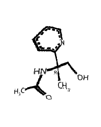 CC(=O)N[C@@](C)(CO)c1ccccn1